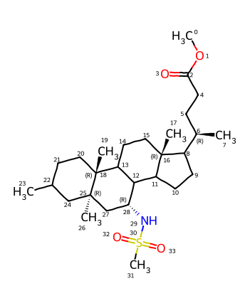 COC(=O)CC[C@@H](C)C1CCC2C3C(CC[C@@]21C)[C@@]1(C)CCC(C)C[C@]1(C)C[C@H]3NS(C)(=O)=O